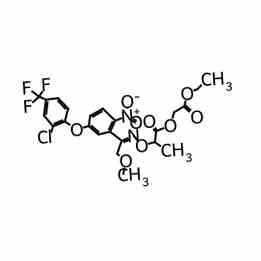 CCOC(=O)COC(=O)C(C)ON=C(COC)c1cc(Oc2ccc(C(F)(F)F)cc2Cl)ccc1[N+](=O)[O-]